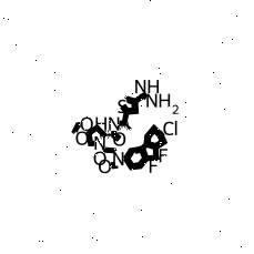 C[C@@H](NC(=O)[C@@H]1CC2(CN1C(=O)CN(C=O)c1ccc3c(c1)-c1ccc(Cl)cc1C3(F)F)OCCO2)c1cc(C(=N)N)cs1